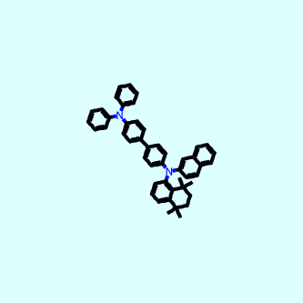 CC1(C)CCC(C)(C)c2c(N(c3ccc(-c4ccc(N(c5ccccc5)c5ccccc5)cc4)cc3)c3ccc4ccccc4c3)cccc21